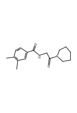 Cc1ccc(C(=O)NCC(=O)N2CCCCC2)cc1C